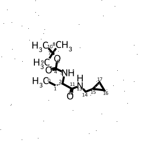 CC[C@H](NC(=O)OC(C)(C)C)C(=O)NCC1CC1